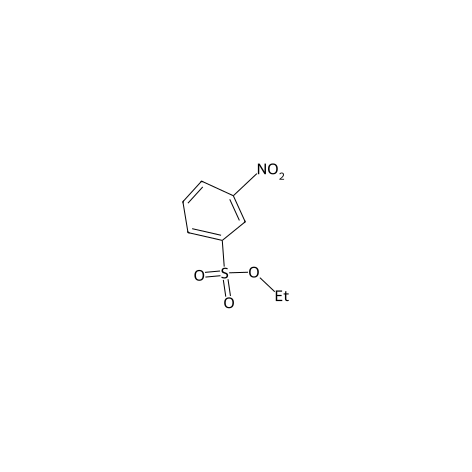 CCOS(=O)(=O)c1cccc([N+](=O)[O-])c1